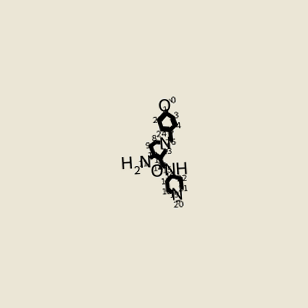 COc1ccc(CN2CCC(N)=C(C(=O)NC3CCN(C)CC3)C2)cc1